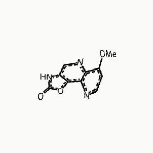 COc1ccnc2c1ncc1[nH]c(=O)oc12